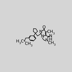 Cc1c2n(c(CC3(c4cccc(CC(C)C)c4)CCCC3)nc1=O)CCN(C)C2=N